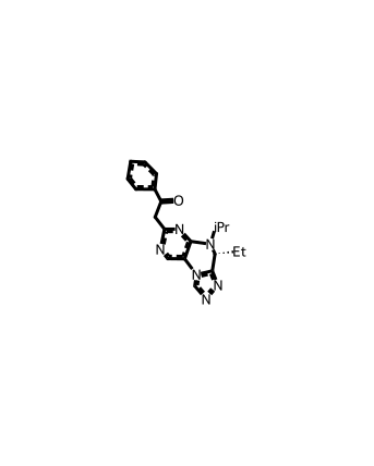 CC[C@@H]1c2nncn2-c2cnc(CC(=O)c3ccccc3)nc2N1C(C)C